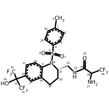 Cc1ccc(S(=O)(=O)N2c3ccc(C(O)(C(F)(F)F)C(F)(F)F)cc3CC[C@H]2CNC(=O)C(N)C(F)(F)F)cc1